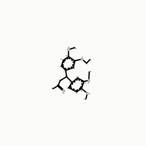 CCOc1cc(C(CC(C)=O)c2ccc(OC)c(OC)c2)ccc1OC